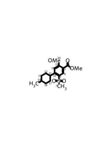 COC(=O)c1cc(S(C)(=O)=O)c(C2CCC(C)CC2)cc1OC